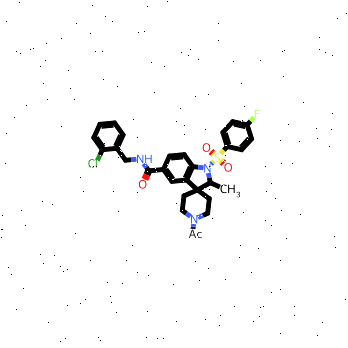 CC(=O)N1CCC2(CC1)c1cc(C(=O)NCc3ccccc3Cl)ccc1N(S(=O)(=O)c1ccc(F)cc1)C2C